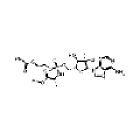 CC(C)OC(=O)[C@@H](C)N[P@](=O)(OCCSC(=O)C(C)(C)C)OC[C@H]1O[C@@H](n2cnc3c(N)ncnc32)[C@](C)(Cl)[C@@H]1O